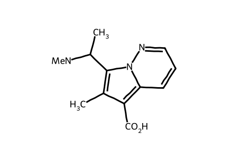 CNC(C)c1c(C)c(C(=O)O)c2cccnn12